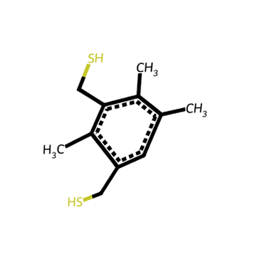 Cc1cc(CS)c(C)c(CS)c1C